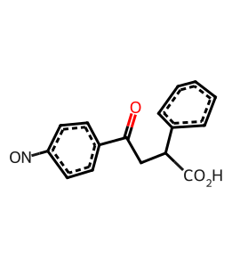 O=Nc1ccc(C(=O)CC(C(=O)O)c2ccccc2)cc1